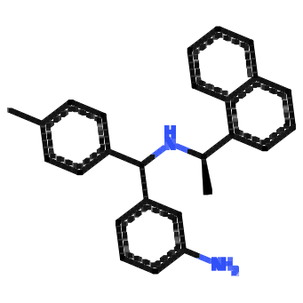 Cc1ccc(C(N[C@H](C)c2cccc3ccccc23)c2cccc(N)c2)cc1